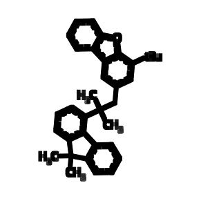 CC(C)(C)c1cc(CC(C)(C)c2cccc3c2-c2ccccc2C3(C)C)cc2c1oc1ccccc12